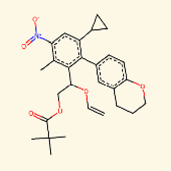 C=COC(COC(=O)C(C)(C)C)c1c(C)c([N+](=O)[O-])cc(C2CC2)c1-c1ccc2c(c1)CCCO2